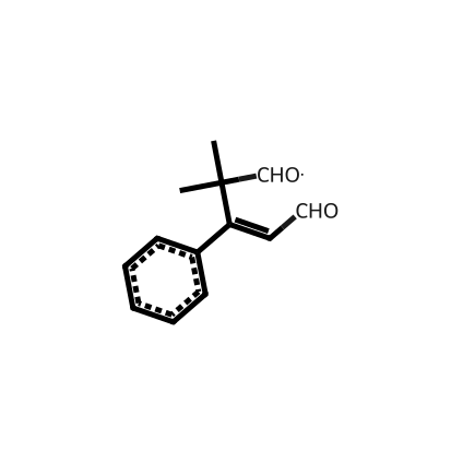 CC(C)([C]=O)C(=CC=O)c1ccccc1